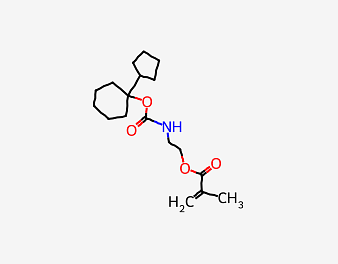 C=C(C)C(=O)OCCNC(=O)OC1(C2CCCC2)CCCCC1